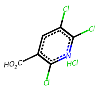 Cl.O=C(O)c1cc(Cl)c(Cl)nc1Cl